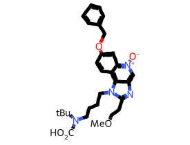 COCCc1nc2c[n+]([O-])c3cc(OCc4ccccc4)ccc3c2n1CCCCN(C(=O)O)C(C)(C)C